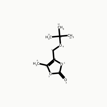 Cc1oc(=O)oc1COC(C)(C)C